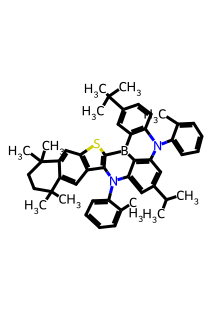 Cc1ccccc1N1c2ccc(C(C)(C)C)cc2B2c3sc4cc5c(cc4c3N(c3ccccc3C)c3cc(C(C)C)cc1c32)C(C)(C)CCC5(C)C